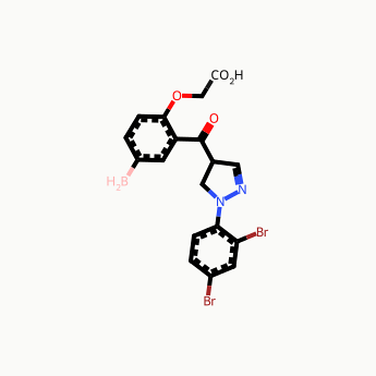 Bc1ccc(OCC(=O)O)c(C(=O)C2C=NN(c3ccc(Br)cc3Br)C2)c1